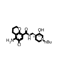 CCCCN1CC[C@@H](CNC(=O)c2cc(Cl)c(N)c3c2OCCC3)[C@H](O)C1